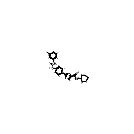 O=C(NC1CCCCC1)c1coc(-c2ccc(NS(=O)(=O)c3cccc(Cl)c3)cc2)n1